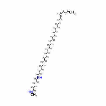 CCCCC1CC1CCCCCCCCCCCCCCCCCCCCCCCCCCCCNCCCCCCNC